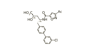 CC(=O)c1cc(C(=O)N[C@H](Cc2ccc(-c3cccc(Cl)c3)cc2)C[C@@H](O)C(=O)O)on1